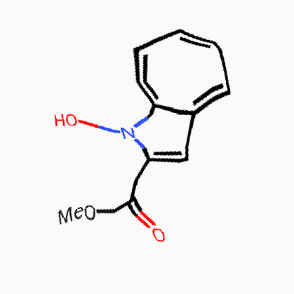 COC(=O)c1cc2ccccc2n1O